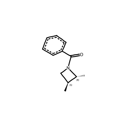 C[C@@H]1[C@@H](C)CN1C(=O)c1ccccc1